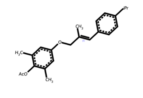 CC(=O)Oc1c(C)cc(OC/C(C)=C/c2ccc(C(C)C)cc2)cc1C